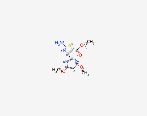 CCOC(=O)c1sc(N)nc1-c1nc(OC)cc(OC)n1